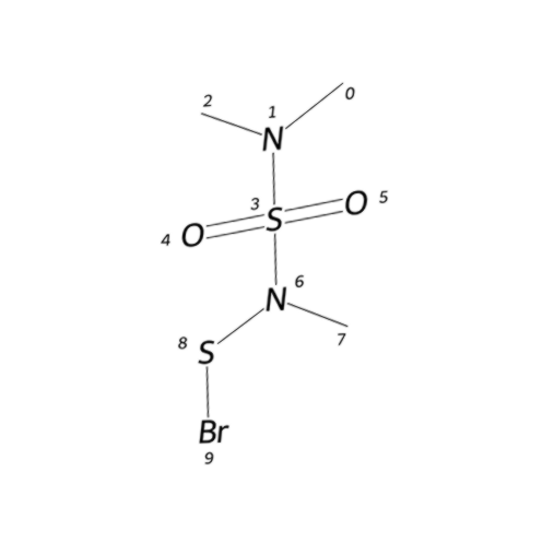 CN(C)S(=O)(=O)N(C)SBr